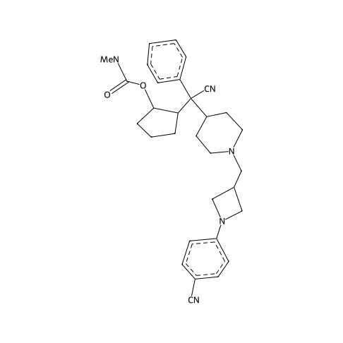 CNC(=O)OC1CCCC1C(C#N)(c1ccccc1)C1CCN(CC2CN(c3ccc(C#N)cc3)C2)CC1